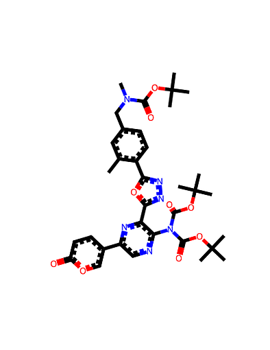 Cc1cc(CN(C)C(=O)OC(C)(C)C)ccc1-c1nnc(-c2nc(-c3ccc(=O)oc3)cnc2N(C(=O)OC(C)(C)C)C(=O)OC(C)(C)C)o1